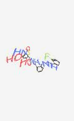 O=c1[nH]c2c(O)ccc(CC(O)NCCc3ccccc3CNCCc3ccccc3F)c2s1